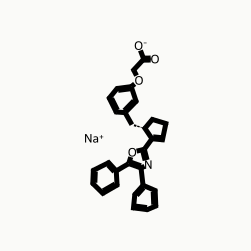 O=C([O-])COc1cccc(C[C@@H]2CCC=C2c2nc(-c3ccccc3)c(-c3ccccc3)o2)c1.[Na+]